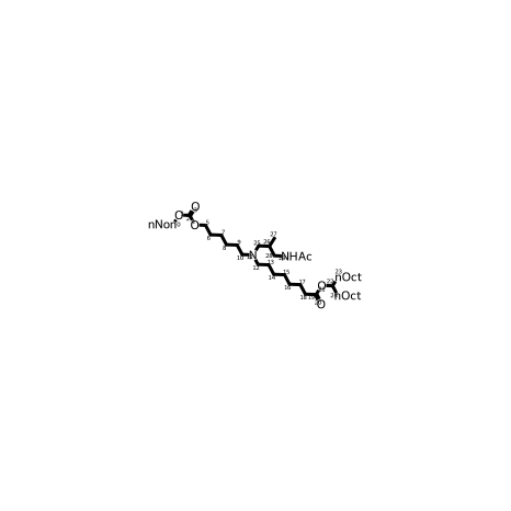 CCCCCCCCCOC(=O)OCCCCCCN(CCCCCCCC(=O)OC(CCCCCCCC)CCCCCCCC)CC(C)CNC(C)=O